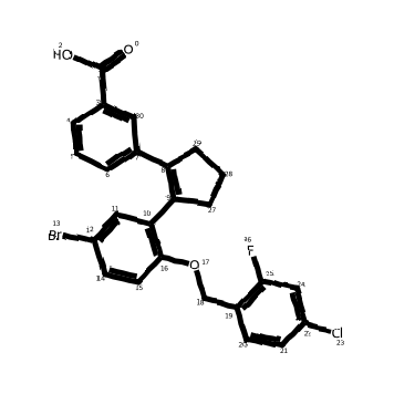 O=C(O)c1cccc(C2=C(c3cc(Br)ccc3OCc3ccc(Cl)cc3F)CCC2)c1